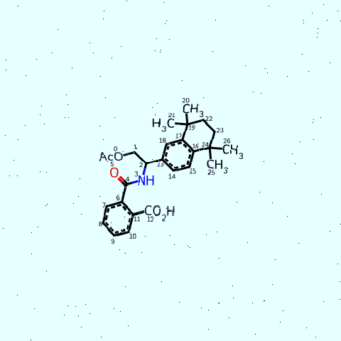 CC(=O)OCC(NC(=O)c1ccccc1C(=O)O)c1ccc2c(c1)C(C)(C)CCC2(C)C